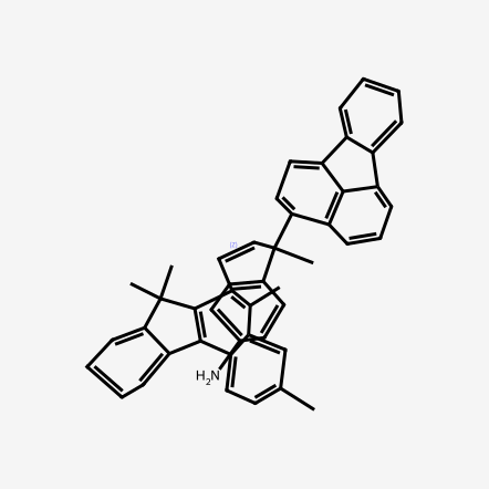 Cc1ccc2c3c(c(/C=C\C(C)(c4ccc(N)cc4)c4ccc5c6c(cccc46)-c4ccccc4-5)c(C)c2c1)C(C)(C)c1ccccc1-3